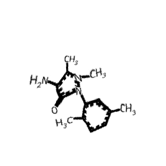 Cc1ccc(C)c(-n2c(=O)c(N)c(C)n2C)c1